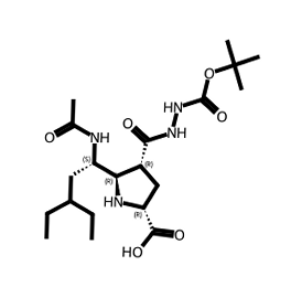 CCC(CC)C[C@H](NC(C)=O)[C@@H]1N[C@@H](C(=O)O)C[C@H]1C(=O)NNC(=O)OC(C)(C)C